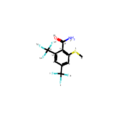 CSc1cc(C(F)(F)F)cc(C(F)(F)F)c1C(N)=O